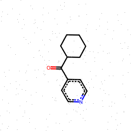 O=C(c1ccncc1)C1CCCCC1